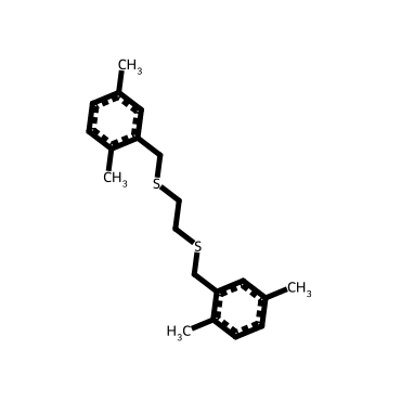 Cc1ccc(C)c(CSCCSCc2cc(C)ccc2C)c1